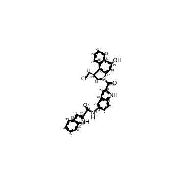 O=C(Nc1ccc2[nH]c(C(=O)N3C[C@@H](CCl)c4c3cc(O)c3ccccc43)cc2c1)c1cc2ccccc2[nH]1